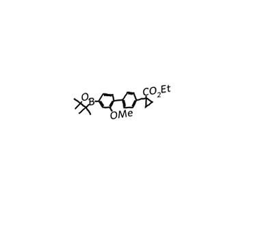 CCOC(=O)C1(c2ccc(-c3ccc(B4OC(C)(C)C4(C)C)cc3OC)cc2)CC1